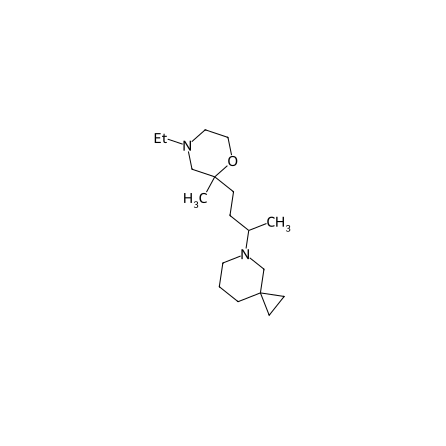 CCN1CCOC(C)(CCC(C)N2CCCC3(CC3)C2)C1